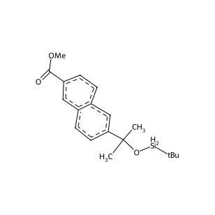 COC(=O)c1ccc2cc(C(C)(C)O[SiH2]C(C)(C)C)ccc2c1